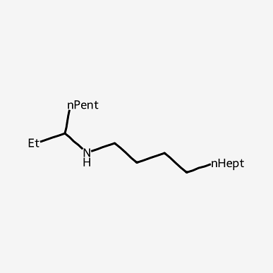 CCCCCCCCCCCNC(CC)CCCCC